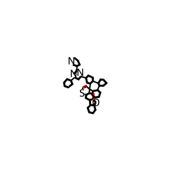 c1ccc(-c2cc(-c3ccc4c(c3)C3(c5ccccc5Sc5cc6c(cc53)oc3ccccc36)c3ccccc3-c3ccccc3-4)nc(-c3cccnc3)n2)cc1